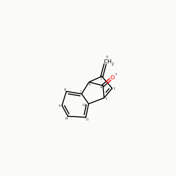 C=C1C=C2C(=O)C1c1ccccc12